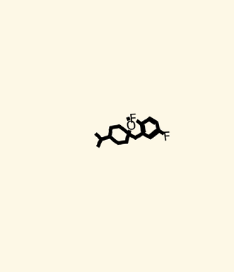 COC1(Cc2cc(F)ccc2F)CCC(C(C)C)CC1